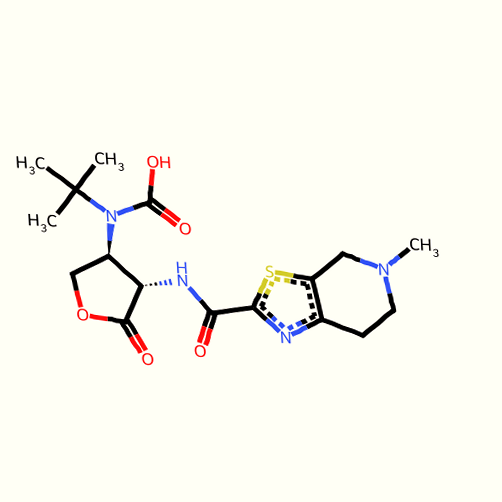 CN1CCc2nc(C(=O)N[C@@H]3C(=O)OC[C@H]3N(C(=O)O)C(C)(C)C)sc2C1